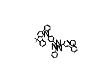 CC1(C)c2ccccc2-c2c1ccc1c3ccccc3n(-c3ccc(-c4nc(-c5ccccc5)nc(-c5ccc6oc7ccccc7c6c5)n4)cc3)c21